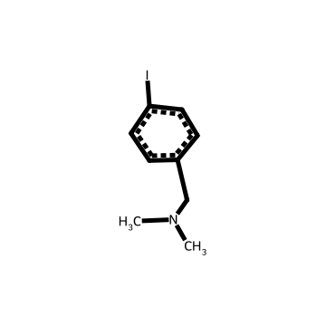 CN(C)Cc1ccc(I)cc1